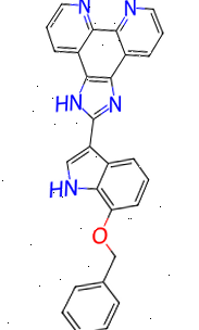 c1ccc(COc2cccc3c(-c4nc5c6cccnc6c6ncccc6c5[nH]4)c[nH]c23)cc1